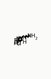 NCCNCc1ccc(C(F)(F)Cl)nc1